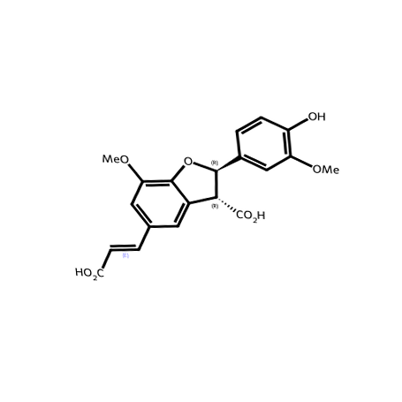 COc1cc([C@@H]2Oc3c(OC)cc(/C=C/C(=O)O)cc3[C@H]2C(=O)O)ccc1O